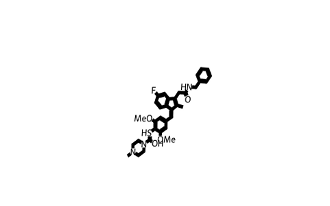 COc1cc(/C=C2/C(C)=C(CC(=O)NCc3ccccc3)c3cc(F)ccc32)cc(OC)c1/[SH]=C(\O)N1CCN(C)CC1